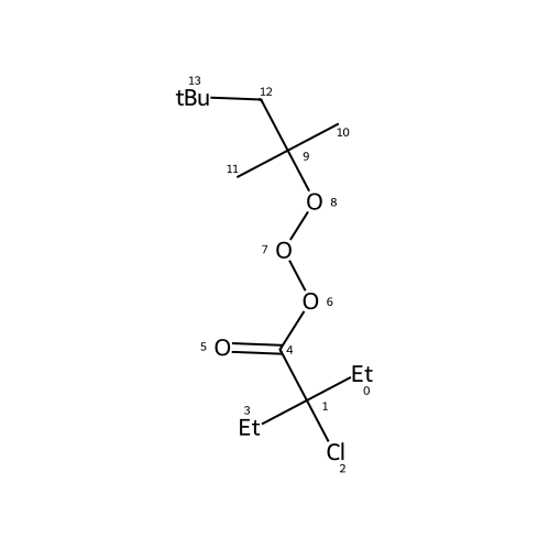 CCC(Cl)(CC)C(=O)OOOC(C)(C)CC(C)(C)C